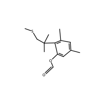 CSCC(C)(C)c1c(C)cc(C)cc1OC=O